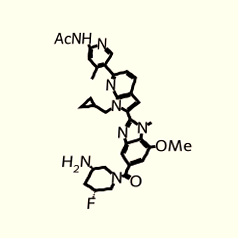 COc1cc(C(=O)N2C[C@H](N)C[C@@H](F)C2)cc2nc(-c3cc4ccc(-c5cnc(NC(C)=O)cc5C)nc4n3CC3CC3)n(C)c12